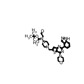 CC(C)(C)OC(=O)N(CC=O)N1CCN(Cc2cc3nc(-c4cccc5[nH]ncc45)nc(N4CCOCC4)c3s2)CC1